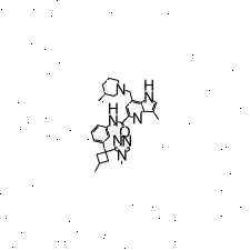 Cc1c[nH]c2c(CN3CCC[C@H](C)C3)cc(C(=O)Nc3cccc(C4(c5nncn5C)CC(C)C4)c3)nc12